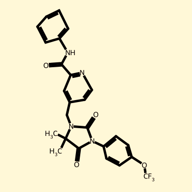 CC1(C)C(=O)N(c2ccc(OC(F)(F)F)cc2)C(=O)N1Cc1ccnc(C(=O)Nc2ccccc2)c1